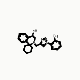 Oc1ccccc1-n1cc(CN2CC(O)c3ccccc3C23CCCCC3)nn1